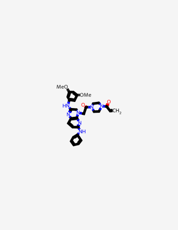 C=CC(=O)N1CCN(C(=O)CN2CC(Nc3cc(OC)cc(OC)c3)=Nc3ccc(Nc4ccccc4)nc32)CC1